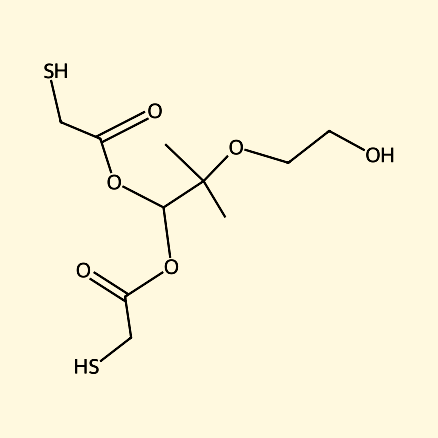 CC(C)(OCCO)C(OC(=O)CS)OC(=O)CS